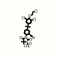 CC(C)(c1cc(Cl)c(OCCCl)c(Cl)c1)c1ccc(N2C(=O)N(S(C)(=O)=O)C(C)(C)C2=O)c(C#N)c1